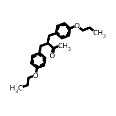 CCCOc1ccc(CC(Cc2ccc(OCCC)cc2)C(C)=O)cc1